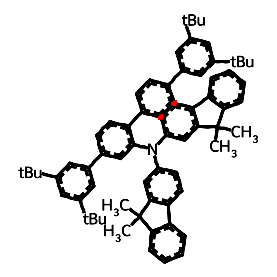 CC(C)(C)c1cc(-c2ccc(-c3ccc(-c4cc(C(C)(C)C)cc(C(C)(C)C)c4)cc3N(c3ccc4c(c3)C(C)(C)c3ccccc3-4)c3ccc4c(c3)C(C)(C)c3ccccc3-4)cc2)cc(C(C)(C)C)c1